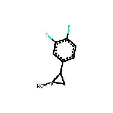 N#C[C@@H]1CC1c1ccc(F)c(F)c1